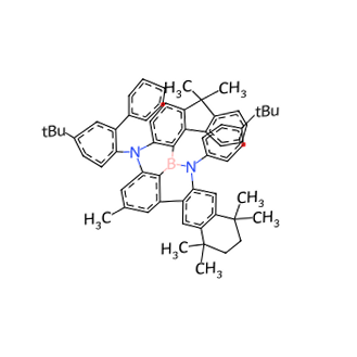 Cc1cc2c3c(c1)N(c1ccc(C(C)(C)C)cc1-c1ccccc1)c1ccc4c(c1B3N(c1ccc(C(C)(C)C)cc1)c1cc3c(cc1-2)C(C)(C)CCC3(C)C)-c1ccccc1C4(C)C